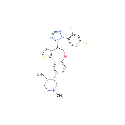 CN1CCN(C=O)C(c2ccc3c(c2)-c2sccc2C(c2ncnn2-c2ccc(F)cc2F)CO3)C1